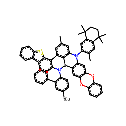 Cc1cc2c3c(c1)N(c1cc4c(cc1C)C(C)(C)CCC4(C)C)c1cc4c(cc1B3N(c1ccc(C(C)(C)C)cc1-c1ccccc1)c1ccc3c(sc5ccccc53)c1-2)Oc1ccccc1O4